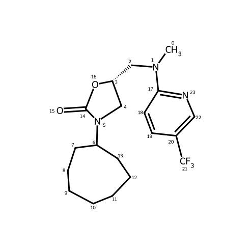 CN(C[C@@H]1CN(C2CCCCCCC2)C(=O)O1)c1ccc(C(F)(F)F)cn1